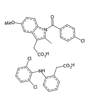 COc1ccc2c(c1)c(CC(=O)O)c(C)n2C(=O)c1ccc(Cl)cc1.O=C(O)Cc1ccccc1Nc1c(Cl)cccc1Cl